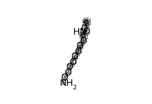 NCCOCCOCCOCCOCCOCCOCCOCCOc1ccc(NC(=O)OCc2ccccc2)cc1